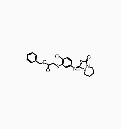 O=C(CSc1cc(/N=c2\sc(=O)n3n2CCCC3)ccc1Cl)OCc1ccccc1